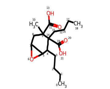 CCCCC1C2OC2CC(C)(C(=O)O)C1(CCCC)C(=O)O